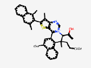 C=C(O)C1[n+]2cnc3c(C)c(-c4c(C)cc5ccccc5c4C)sc3c2-c2cc(C(C)(C)C)c3ccccc3c2C1(C)CCOC